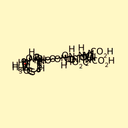 CC[C@H](C)[C@@H]1NC(=O)[C@H](CC2CCCCC2)NC(=O)C(C)(C)NC(=O)CCSCc2cccc(c2)CSC[C@@H](C(=O)NCCCOCCOCCOCCCNC(=O)CCC(=O)N[C@@H](CCCCNC(O)CN2CCN(CC(=O)O)CCN(CC(=O)O)CCN(CC(=O)O)CC2)C(N)=O)NC1=O